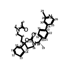 CC(=O)N(C)CCCC1(c2ccccc2)CCN([C@@H](C)c2ccc(-c3ccnc(C)c3)cc2)C(=O)O1